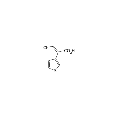 O=C(O)/C(=C/Cl)c1ccsc1